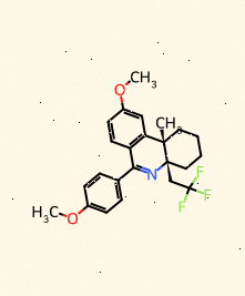 COc1ccc(C2=N[C@@]3(CC(F)(F)F)CCCC[C@@]3(C)c3cc(OC)ccc32)cc1